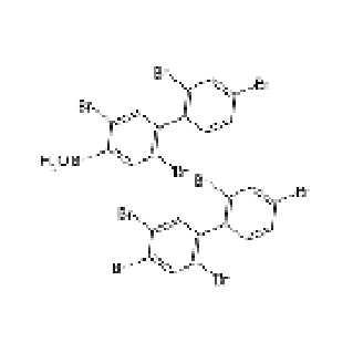 Brc1ccc(-c2cc(Br)c(Br)cc2Br)c(Br)c1.Brc1ccc(-c2cc(Br)c(Br)cc2Br)c(Br)c1.O